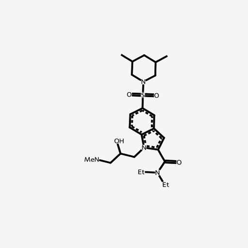 CCN(CC)C(=O)c1cc2cc(S(=O)(=O)N3CC(C)CC(C)C3)ccc2n1CC(O)CNC